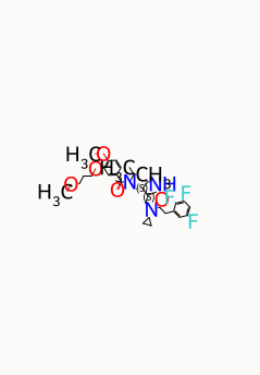 COCCCOc1cc(C(=O)N(C[C@@H]2CNC[C@H]2CN(C(=O)Cc2cc(F)cc(F)c2F)C2CC2)C(C)C)ccc1OC